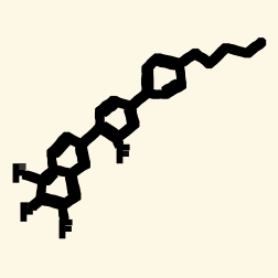 CCCCCc1ccc(-c2ccc(-c3ccc4c(F)c(F)c(F)cc4c3)c(F)c2)cc1